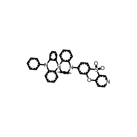 O=S1(=O)c2ccc(N3c4ccccc4[Si]4(c5ccccc5N(c5ccccc5)c5ccccc54)c4ccccc43)cc2Oc2ccncc21